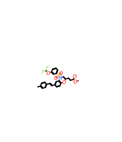 COC(=O)CCC1CN(S(=O)(=O)c2cccc(OC(F)F)c2)c2cc(C=Cc3ccc(C)cc3)ccc2O1